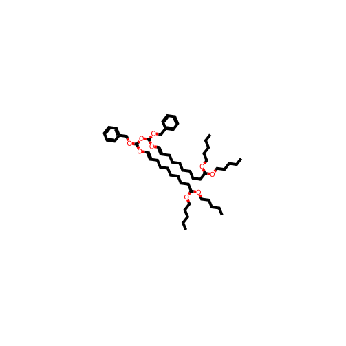 CCCCCOC(CCCCCCCC=COC(OCc1ccccc1)OC(OC=CCCCCCCCC(OCCCCC)OCCCCC)OCc1ccccc1)OCCCCC